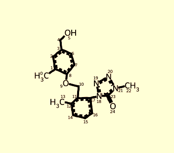 Cc1cc(CO)ccc1OCc1c(C)cccc1-n1nnn(C)c1=O